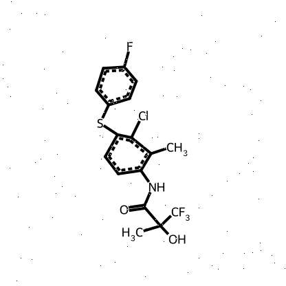 Cc1c(NC(=O)C(C)(O)C(F)(F)F)ccc(Sc2ccc(F)cc2)c1Cl